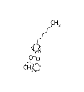 CCCCCCCc1cnc(C(=O)OC(CC)c2ccccc2)nc1